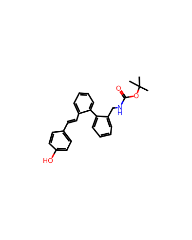 CC(C)(C)OC(=O)NCc1ccccc1-c1ccccc1/C=C/c1ccc(O)cc1